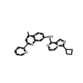 Cc1cc(-c2ccccn2)nc2cc(Nc3nccn4c(C5CCC5)ncc34)ccc12